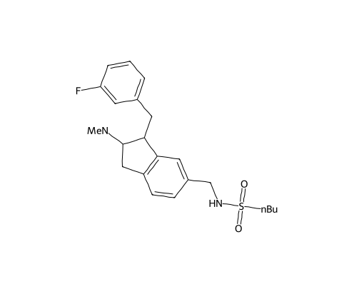 CCCCS(=O)(=O)NCc1ccc2c(c1)C(Cc1cccc(F)c1)C(NC)C2